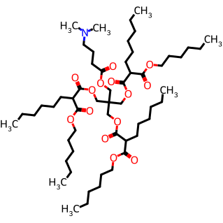 CCCCCCOC(=O)C(CCCCCC)C(=O)OCC(COC(=O)CCCN(C)C)(COC(=O)C(CCCCCC)C(=O)OCCCCCC)COC(=O)C(CCCCCC)C(=O)OCCCCCC